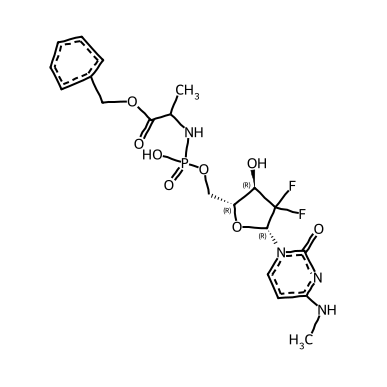 CNc1ccn([C@@H]2O[C@H](COP(=O)(O)NC(C)C(=O)OCc3ccccc3)[C@@H](O)C2(F)F)c(=O)n1